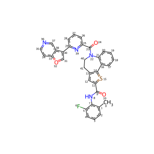 Cc1cccc(F)c1NC(=O)c1cc2c(s1)-c1ccccc1N(C(=O)c1cccc(-c3coc4ccncc34)n1)CC2